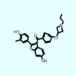 CCCN1CC(Oc2ccc(C(=O)c3c(-c4ccc(O)c(C)c4)sc4cc(O)ccc34)cc2)C1